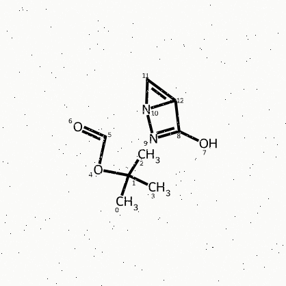 CC(C)(C)OC=O.Oc1nn2cc1-2